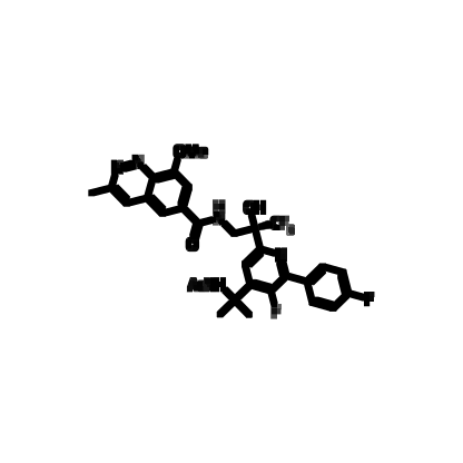 COc1cc(C(=O)NC[C@](O)(c2cc(C(C)(C)NC(C)=O)c(F)c(-c3ccc(F)cc3)n2)C(F)(F)F)cc2cc(C)nnc12